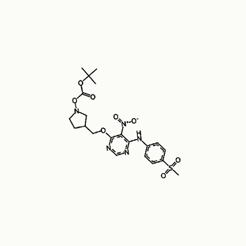 CC(C)(C)OC(=O)ON1CCC(COc2ncnc(Nc3ccc(S(C)(=O)=O)cc3)c2[N+](=O)[O-])C1